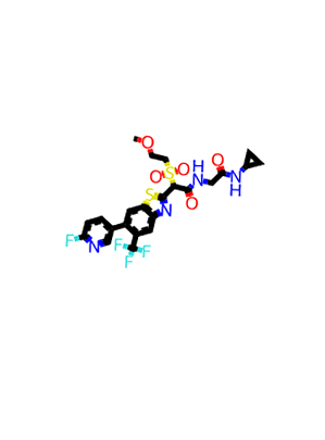 COCCS(=O)(=O)C(C(=O)NCC(=O)NC1CC1)c1nc2cc(C(F)(F)F)c(-c3ccc(F)nc3)cc2s1